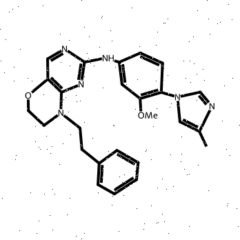 COc1cc(Nc2ncc3c(n2)N(CCc2ccccc2)CCO3)ccc1-n1cnc(C)c1